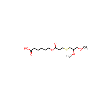 COCC(CSCCC(=O)OCCCCCC(=O)O)OC